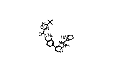 CC(C)(C)c1noc(C(=O)NCc2ccc(-c3ccnc4[nH]c(C5NC6CCC5C6)nc34)cc2F)n1